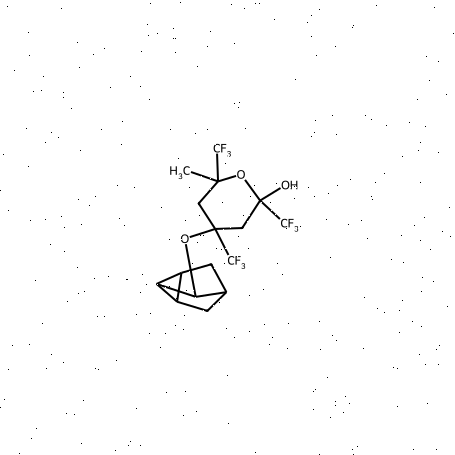 CC1(C(F)(F)F)CC(OC2C3CC4C(C3)C42)(C(F)(F)F)CC(O)(C(F)(F)F)O1